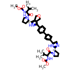 C=C(C)[C@H](NC(=O)OC)C(=O)N1CCC[C@H]1c1[nH]c(-c2ccc(-c3ccc(-c4cnc([C@@H]5CCCN5C(=O)[C@@H](NC(=O)OC)C(C)C)[nH]4)cc3)cc2)c2c1COC2